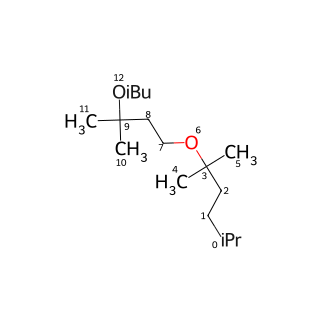 CC(C)CCC(C)(C)OCCC(C)(C)OCC(C)C